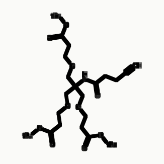 C#CCCC(=O)NC(COCCC(=O)OC(C)(C)C)(COCCC(=O)OC(C)(C)C)COCCC(=O)OC(C)(C)C